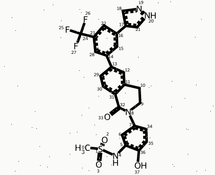 CS(=O)(=O)Nc1cc(N2CCc3cc(-c4cc(-c5cn[nH]c5)cc(C(F)(F)F)c4)ccc3C2=O)ccc1O